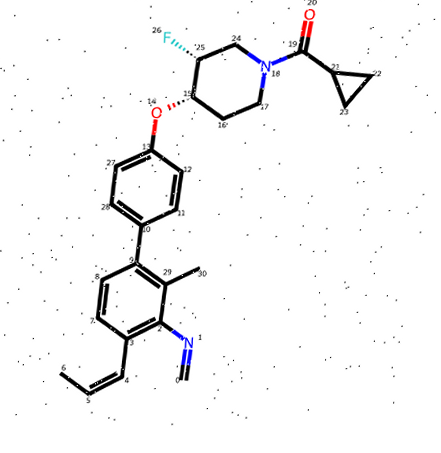 C=Nc1c(/C=C\C)ccc(-c2ccc(O[C@H]3CCN(C(=O)C4CC4)C[C@H]3F)cc2)c1C